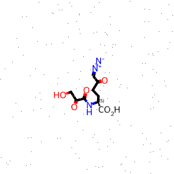 [N-]=[N+]=CC(=O)CC[C@H](NC(=O)C(=O)CO)C(=O)O